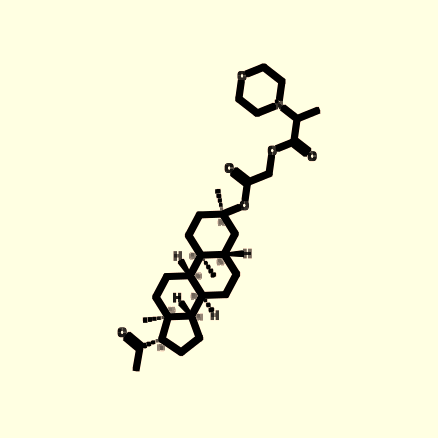 CC(=O)[C@H]1CC[C@H]2[C@@H]3CC[C@H]4C[C@](C)(OC(=O)COC(=O)C(C)N5CCOCC5)CC[C@]4(C)[C@H]3CC[C@]12C